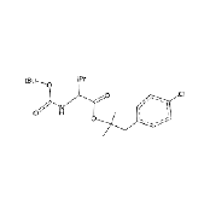 CC(C)C(NC(=O)OC(C)(C)C)C(=O)OC(C)(C)Cc1ccc(Cl)cc1